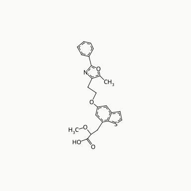 COC(Cc1cc(OCCc2nc(-c3ccccc3)oc2C)cc2ccsc12)C(=O)O